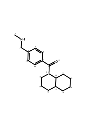 CNCc1ccc(C(=O)N2CCCC3CCCCC32)cc1